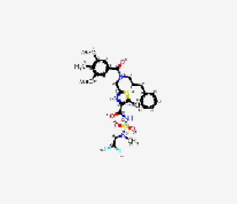 COc1cc(C(=O)N(CCCc2ccccc2)Cc2nc(C(=O)NS(=O)(=O)N(C)CC(F)F)c(C)s2)cc(OC)c1C